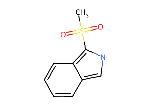 CS(=O)(=O)C1=c2ccccc2=C[N]1